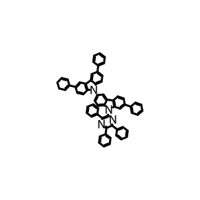 C1=CC(c2ccc3c(c2)c2cc(-c4ccccc4)ccc2n3-c2ccc3c(c2)c2ccc(-c4ccccc4)cc2n3-c2nc(-c3ccccc3)c(-c3ccccc3)nc2-c2ccccc2)=CCC1